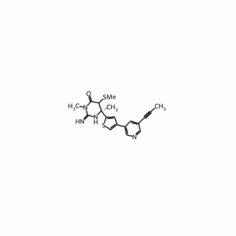 CC#Cc1cncc(-c2csc([C@@]3(C)NC(=N)N(C)C(=O)C3SC)c2)c1